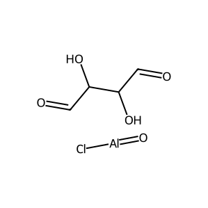 O=CC(O)C(O)C=O.[O]=[Al][Cl]